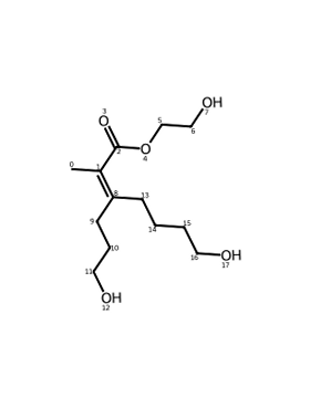 CC(C(=O)OCCO)=C(CCCO)CCCCO